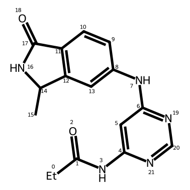 CCC(=O)Nc1cc(Nc2ccc3c(c2)C(C)NC3=O)ncn1